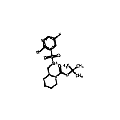 CC(C)(C)OC(=O)N1CCCCC1CNS(=O)(=O)c1cc(F)cnc1Cl